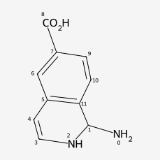 NC1NC=Cc2cc(C(=O)O)ccc21